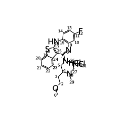 COCCC1CN(C2=Nc3cc(F)ccc3Nc3sc4ccccc4c32)CCN1C.Cl.Cl